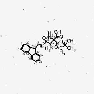 CC(C)(C)OC(=O)C(N)(C(=O)O)C(N)C(=O)OCC1c2ccccc2-c2ccccc21